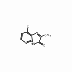 COc1nc2c(Cl)ccnc2[nH]c1=O